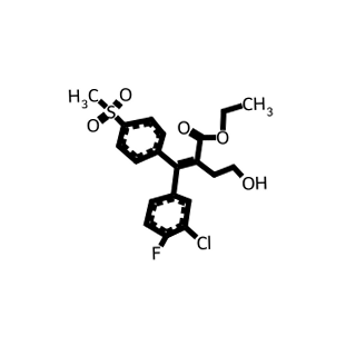 CCOC(=O)C(CCO)=C(c1ccc(S(C)(=O)=O)cc1)c1ccc(F)c(Cl)c1